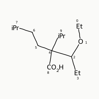 CCOC(CC)C(CCC(C)C)(C(=O)O)C(C)C